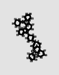 C[C@]1(N2C3=CC(C=CC(C4=CCC(n5c6c(c7ccccc75)-c5c(c7ccccc7n5C5=CCCCC5)CC6)C=C4)=C3)C3=C2CCC=C3)C=CC=CC1